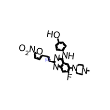 CN1CCN(c2cc3c(Nc4ccc(O)cc4)nc(/C=C/c4ccc([N+](=O)[O-])o4)nc3cc2F)CC1